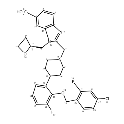 O=C(O)c1ccc2nc(CN3CCC(c4cccc(F)c4OCc4ccc(Cl)cc4F)CC3)n(C[C@@H]3CCO3)c2c1